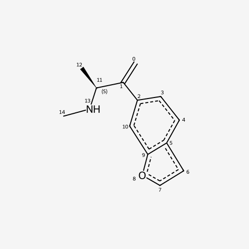 C=C(c1ccc2ccoc2c1)[C@H](C)NC